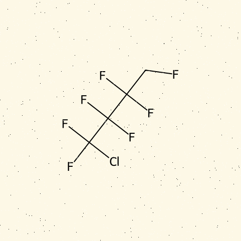 FCC(F)(F)C(F)(F)C(F)(F)Cl